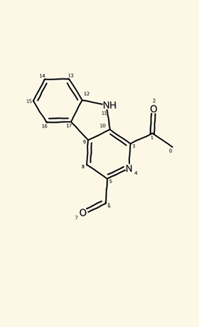 CC(=O)c1nc([C]=O)cc2c1[nH]c1ccccc12